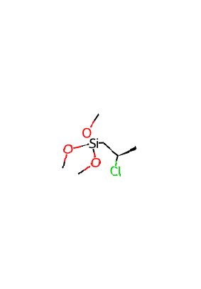 CO[Si](C[C@@H](C)Cl)(OC)OC